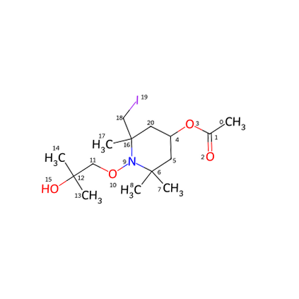 CC(=O)OC1CC(C)(C)N(OCC(C)(C)O)C(C)(CI)C1